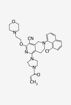 C=CC(=O)N1CCN(c2nc(OCCN3CCOCC3)c(C#N)c3c2CCN(c2cccc4cccc(Cl)c24)C3)CC1